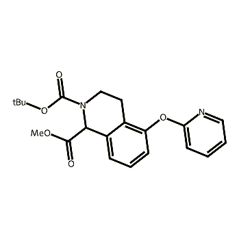 COC(=O)C1c2cccc(Oc3ccccn3)c2CCN1C(=O)OC(C)(C)C